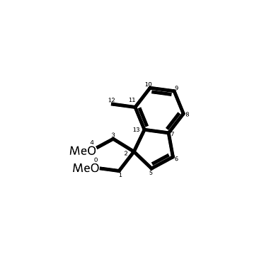 COCC1(COC)C=Cc2cccc(C)c21